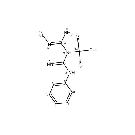 N=C(Nc1ccccc1)N(C(N)=NCl)C(F)(F)F